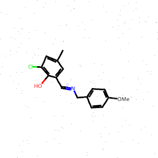 COc1ccc(C/N=C/c2cc(C)cc(Cl)c2O)cc1